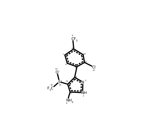 Nc1[nH]nc(-c2ccc(C(F)(F)F)cc2Cl)c1[S+]([O-])C(F)(F)F